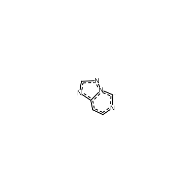 [c]1nccc2ncnn12